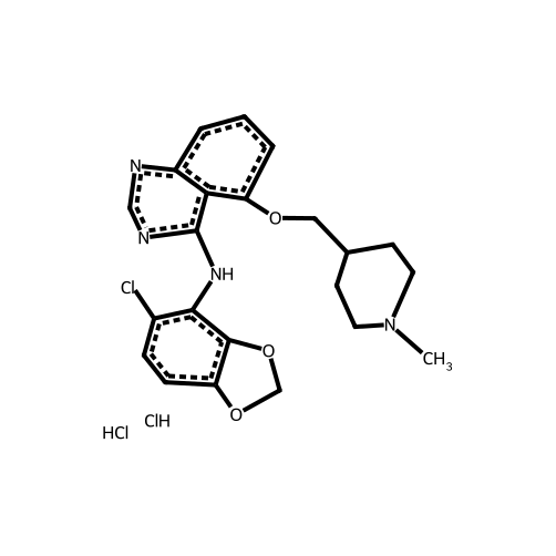 CN1CCC(COc2cccc3ncnc(Nc4c(Cl)ccc5c4OCO5)c23)CC1.Cl.Cl